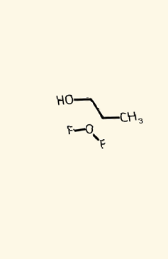 CCCO.FOF